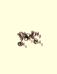 COC(=O)CCc1ccc(N(c2ccc3c(c2)C(C)(C)c2ccccc2-3)c2ccc3sc(-c4sc5ccc(N(c6ccc(CCC(=O)OC)cc6)c6ccc7c(c6)C(C)(C)c6ccccc6-7)cc5c4C)c(C)c3c2)cc1